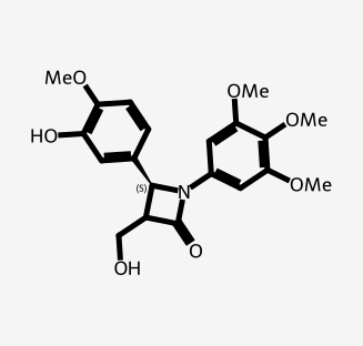 COc1ccc([C@@H]2C(CO)C(=O)N2c2cc(OC)c(OC)c(OC)c2)cc1O